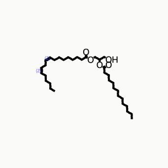 CCCCC/C=C\C/C=C\CCCCCCCC(=O)OCC(CO)OC(=O)CCCCCCCCCCCCC